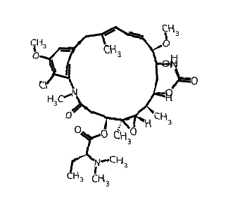 CC[C@@H](C(=O)O[C@H]1CC(=O)N(C)c2cc(cc(OC)c2Cl)C/C(C)=C/C=C/[C@@H](OC)[C@@]2(O)C[C@H](OC(=O)N2)[C@@H](C)[C@@H]2O[C@@]12C)N(C)C